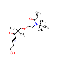 C=CC(=O)N(CCOCC(C)(C)C(=O)/C=C/CCO)C(C)(C)C